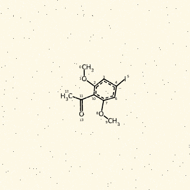 COc1cc(I)cc(OC)c1C(C)=O